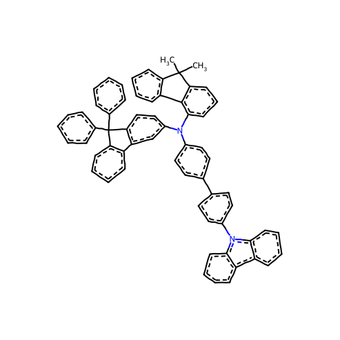 CC1(C)c2ccccc2-c2c(N(c3ccc(-c4ccc(-n5c6ccccc6c6ccccc65)cc4)cc3)c3ccc4c(c3)-c3ccccc3C4(c3ccccc3)c3ccccc3)cccc21